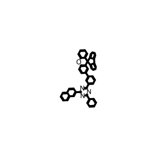 c1ccc(-c2nc(-c3cccc(-c4ccc5c(c4)C4(c6ccccc6O5)c5ccccc5-c5ccccc54)c3)nc(-c3ccc4ccccc4c3)n2)cc1